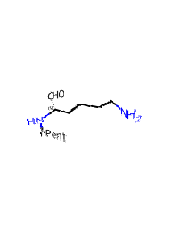 CCCCCN[C@H](C=O)CCCCN